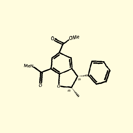 CNC(=O)c1cc(C(=O)OC)cc2c1O[C@@H](C)[C@H]2c1ccccc1